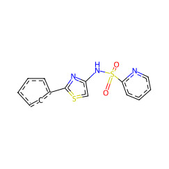 O=S(=O)(Nc1csc(-c2ccccc2)n1)c1ccccn1